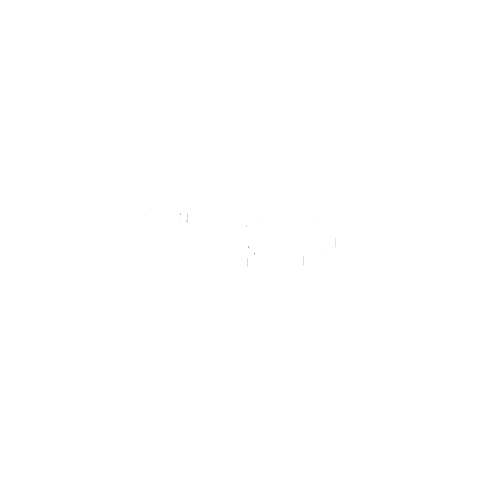 CN(C(=O)c1ccc(F)cc1)c1cccc(C(=O)Nc2c(I)cc(C(F)(C(C)(F)F)C(F)(F)F)cc2C(F)(F)F)c1F